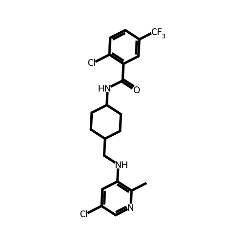 Cc1ncc(Cl)cc1NCC1CCC(NC(=O)c2cc(C(F)(F)F)ccc2Cl)CC1